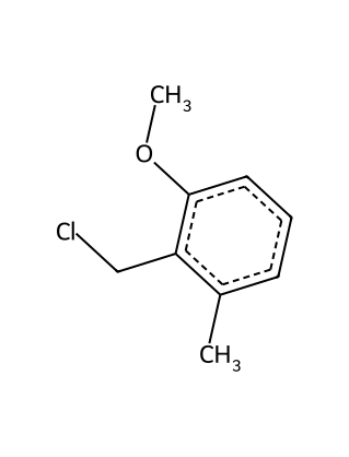 COc1cccc(C)c1CCl